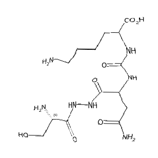 NCCCCC(NC(=O)NC(CC(N)=O)C(=O)NNC(=O)[C@@H](N)CO)C(=O)O